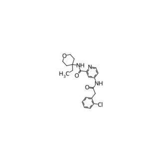 CCC1(NC(=O)c2cc(NC(=O)Cc3ccccc3Cl)ccn2)CCOCC1